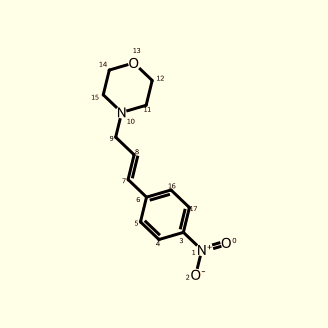 O=[N+]([O-])c1ccc(/C=C/CN2CCOCC2)cc1